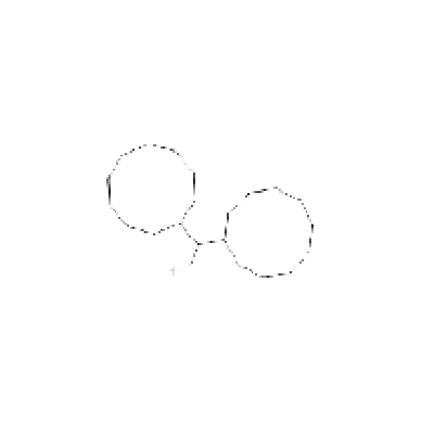 O=[C]C(C1CCCCCCCCC1)C1CCCCCCCCC1